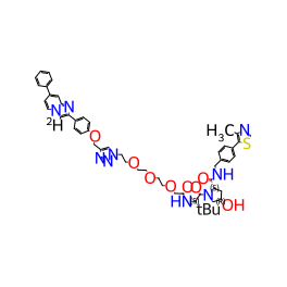 [2H]c1c(-c2ccc(OCc3cn(CCOCCOCCOCC(=O)N[C@H](C(=O)N4C[C@H](O)C[C@H]4C(=O)NCc4ccc(-c5scnc5C)cc4)C(C)(C)C)nn3)cc2)nc2cc(-c3ccccc3)ccn12